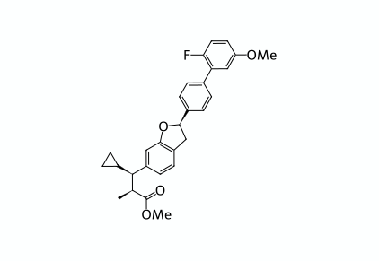 COC(=O)[C@@H](C)[C@H](c1ccc2c(c1)O[C@@H](c1ccc(-c3cc(OC)ccc3F)cc1)C2)C1CC1